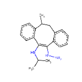 CC(C)N/C1=C(\NN)c2ccccc2CC(C)c2ccccc21